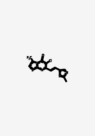 Cc1ncc(/C=C/c2nc3scc(C(F)(F)F)n3c(=O)c2Cl)s1